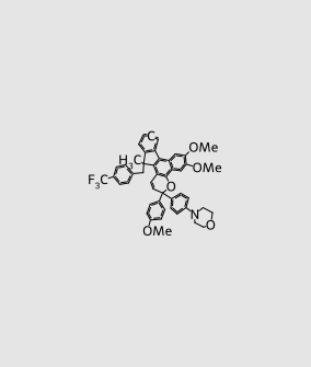 COc1ccc(C2(c3ccc(N4CCOCC4)cc3)C=Cc3c4c(c5cc(OC)c(OC)cc5c3O2)-c2ccccc2C4(C)Cc2ccc(C(F)(F)F)cc2)cc1